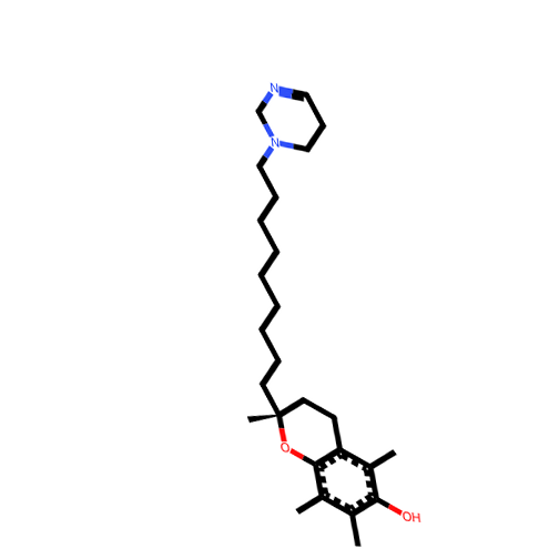 Cc1c(C)c2c(c(C)c1O)CC[C@@](C)(CCCCCCCCCN1CCC=NC1)O2